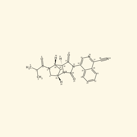 CC(C)C(=O)N1C[C@@H]2C[C@H]1[C@H]1C(=O)N(c3cnc(C#N)c4ccccc34)C(=O)N21